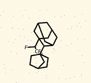 FC(C(F)(F)F)C12CC3CC(CC(C3)C1C13CCC(CC1)C3)C2